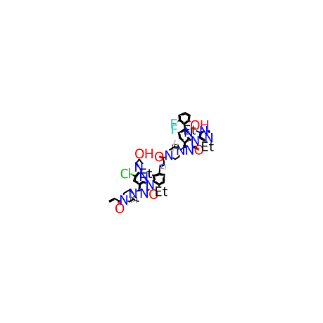 C=CC(=O)N1CCN(c2nc(=O)n(-c3c(CC)ccc(/C=C/C(=O)N4CCN(c5nc(=O)n(-c6c(CC)ncnc6CC)c6nc(-c7c(O)cccc7F)c(F)cc56)[C@@H](C)C4)c3CC)c3nc(N4CC(O)C4)c(Cl)cc23)[C@@H](C)C1